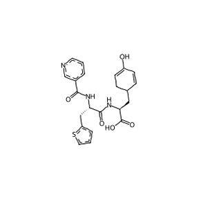 O=C(N[C@@H](Cc1cccs1)C(=O)N[C@@H](CC1C=CC(O)=CC1)C(=O)O)c1cccnc1